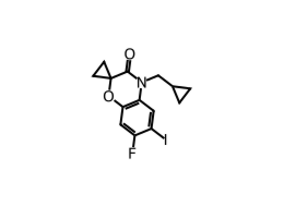 O=C1N(CC2CC2)c2cc(I)c(F)cc2OC12CC2